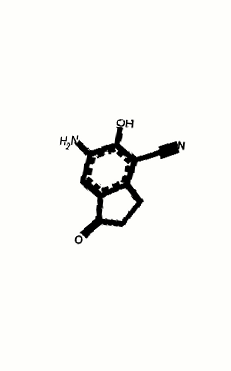 N#Cc1c(O)c(N)cc2c1CCC2=O